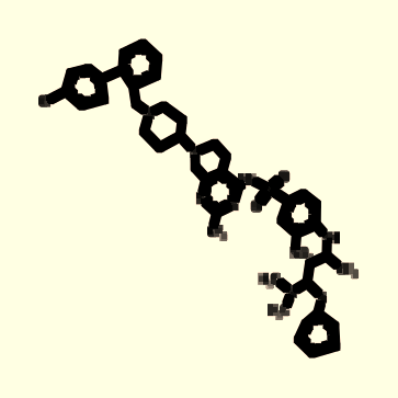 CC(CC(Sc1ccccc1)N(C)C)Nc1ccc(S(=O)(=O)Nc2nc(C(F)(F)F)nc3c2CCN(C2CCN(Cc4ccccc4-c4ccc(Cl)cc4)CC2)C3)cc1[N+](=O)[O-]